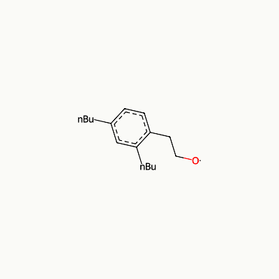 CCCCc1ccc(CC[O])c(CCCC)c1